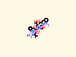 CC(C)C(N)C(=O)NC(Cc1ccccc1)C(=O)N(C(=O)[C@@H](C[C@H](O)[C@@H](N)CC1CCCCC1)C(C)C)N1CCOCC1